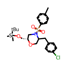 Cc1ccc(S(=O)(=O)N2C[C@@H](CO[Si](C)(C)C(C)(C)C)OCC2Cc2ccc(Cl)cc2)cc1